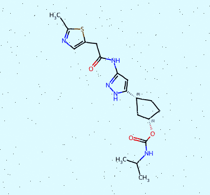 Cc1ncc(CC(=O)Nc2cc([C@@H]3CC[C@H](OC(=O)NC(C)C)C3)[nH]n2)s1